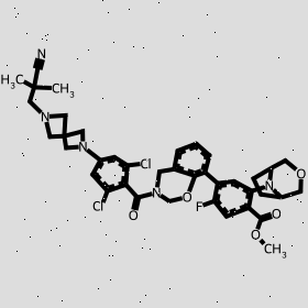 COC(=O)c1cc(F)c(-c2cccc3c2OCN(C(=O)c2c(Cl)cc(N4CC5(CN(CC(C)(C)C#N)C5)C4)cc2Cl)C3)cc1N1C2CCC1COC2